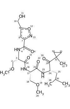 COC[C@H](NC(=O)c1cc(CO)on1)C(=O)N[C@@H](COC)C(=O)N[C@@H](CC(C)C)C(=O)C1(C)CC1